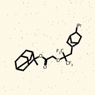 CC(C)C1CC2CC1CC2CC(OCC(=O)OC1(C)C2CC3CC(C2)CC1C3)(C(F)(F)F)C(F)(F)F